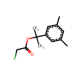 Cc1cc(C)cc(C(OC(=O)CF)(C(F)(F)F)C(F)(F)F)c1